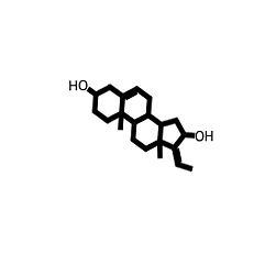 C/C=C1\C(O)CC2C3CC=C4CC(O)CCC4(C)C3CCC12C